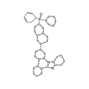 O=P(c1ccccc1)(c1ccc2cc(-c3ccc4c5ccccc5c5nc6ccccc6n5c4c3)ccc2c1)C1C=CC=CC1